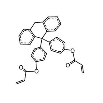 C=CC(=O)Oc1ccc(C2(c3ccc(OC(=O)C=C)cc3)c3ccccc3Cc3ccccc32)cc1